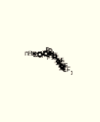 CCCCOC1CCC(c2cc(F)c(C(F)(F)Oc3ccc(-c4ccc(-c5ccc(C(F)(F)F)c(F)c5)c(F)c4)cc3)c(F)c2)CC1